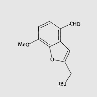 COc1ccc(C=O)c2cc(CC(C)(C)C)oc12